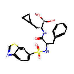 O=C(N[C@@H](CC1CC1)B(O)O)C(Cc1ccccc1)NS(=O)(=O)c1ccc2ncsc2c1